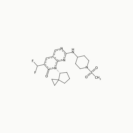 CS(=O)(=O)N1CCC(Nc2ncc3cc(C(F)F)c(=O)n([C@@H]4CCCC45CC5)c3n2)CC1